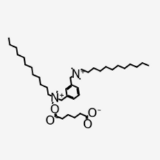 CCCCCCCCCCCC[N+](C)(C)Cc1cccc(C[N+](C)(C)CCCCCCCCCCCC)c1.O=C([O-])CCCCC(=O)[O-]